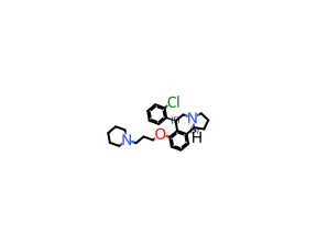 Clc1ccccc1[C@H]1CN2CCC[C@H]2c2cccc(OCCCN3CCCCC3)c21